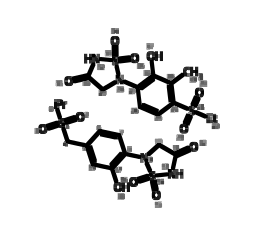 CC(C)S(=O)(=O)Cc1ccc(N2CC(=O)NS2(=O)=O)c(O)c1.CCS(=O)(=O)c1ccc(N2CC(=O)NS2(=O)=O)c(O)c1C